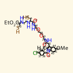 CCOC(=O)[C@@H](CS)NCCNC(CS)C(=O)NCCOCCOCCNC(=O)Cc1c(C)n(C(=O)c2ccc(Cl)cc2)c2ccc(OC)cc12